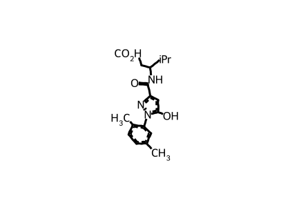 Cc1ccc(C)c(-n2nc(C(=O)NC(CC(=O)O)C(C)C)cc2O)c1